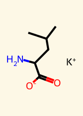 CC(C)CC(N)C(=O)[O-].[K+]